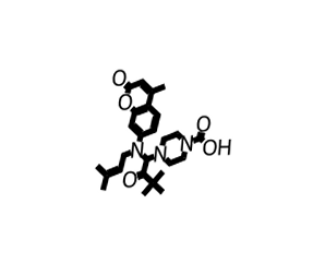 CC(C)=CCN(c1ccc2c(C)cc(=O)oc2c1)C(C(=O)C(C)(C)C)N1CCN(C(=O)O)CC1